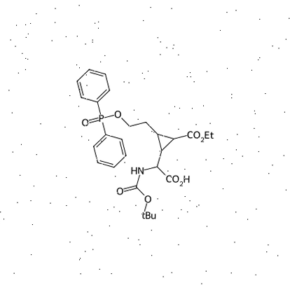 CCOC(=O)C1C(CCOP(=O)(c2ccccc2)c2ccccc2)C1C(NC(=O)OC(C)(C)C)C(=O)O